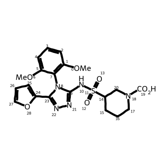 COc1cccc(OC)c1-n1c(NS(=O)(=O)C2CCCN(C(=O)O)C2)nnc1-c1ccco1